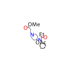 CCC(=O)N(c1ccccc1)C1(OC(C)=O)CCN(CCC(=O)OC)CC1